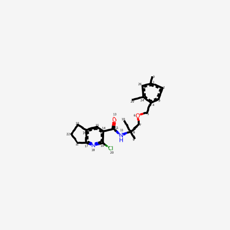 Cc1ccc(COCC(C)(C)NC(=O)c2cc3c(nc2Cl)CCC3)c(C)c1